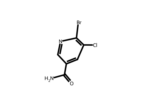 NC(=O)c1cnc(Br)c(Cl)c1